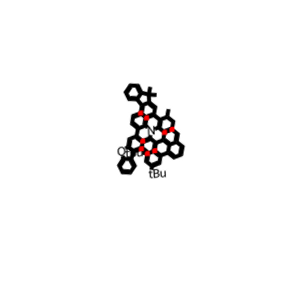 CC1CC=CC(N(c2ccccc2C2=c3c(-c4cc(C(C)(C)C)cc(C(C)(C)C)c4)cccc3=CCC2)c2ccccc2-c2ccc3c(c2)oc2ccccc23)=C1c1ccc2c(c1)C(C)(C)c1ccccc1-2